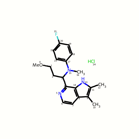 COCCC(c1nccc2c(C)c(C)[nH]c12)N(C)c1ccc(F)cc1.Cl